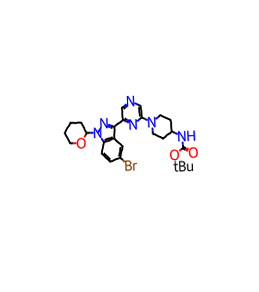 CC(C)(C)OC(=O)NC1CCN(c2cncc(-c3nn(C4CCCCO4)c4ccc(Br)cc34)n2)CC1